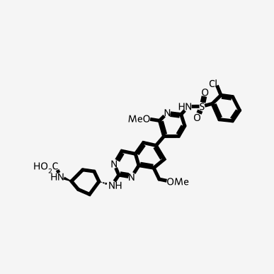 COCc1cc(-c2ccc(NS(=O)(=O)c3ccccc3Cl)nc2OC)cc2cnc(N[C@H]3CC[C@H](NC(=O)O)CC3)nc12